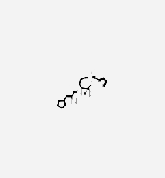 N[C@@H](CC1CCCC1)C(=O)NC1CCCN(C(=O)c2ccco2)CC1O